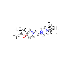 CC(C)[C@@H](C)OC1CCN(CCN2CCN(C(C)(C)C)CC2)CC1